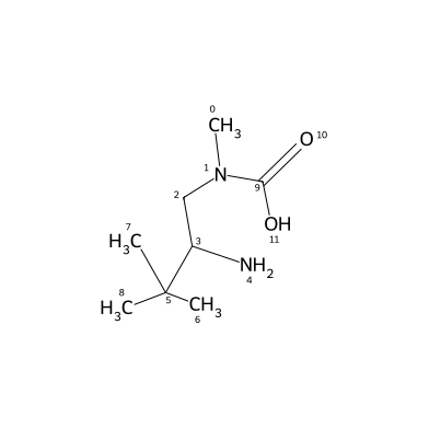 CN(CC(N)C(C)(C)C)C(=O)O